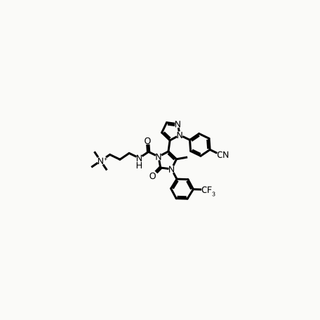 Cc1c(-c2ccnn2-c2ccc(C#N)cc2)n(C(=O)NCCC[N+](C)(C)C)c(=O)n1-c1cccc(C(F)(F)F)c1